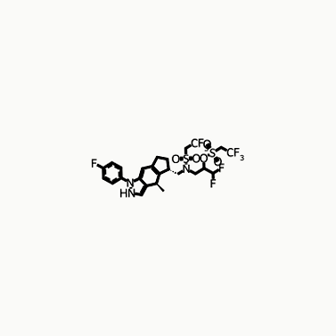 C[C@H]1C2=CNN(c3ccc(F)cc3)C2=CC2=C1[C@@H](CN(CC(OS(=O)(=O)CC(F)(F)F)C(F)F)S(=O)(=O)CC(F)(F)F)CC2